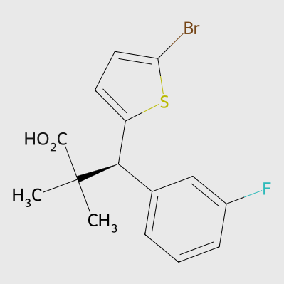 CC(C)(C(=O)O)[C@H](c1cccc(F)c1)c1ccc(Br)s1